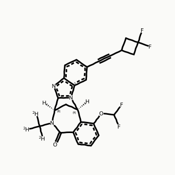 [2H]C([2H])([2H])N1C(=O)c2cccc(OC(F)F)c2[C@H]2C[C@@H]1c1nc3ccc(C#CC4CC(F)(F)C4)cc3n12